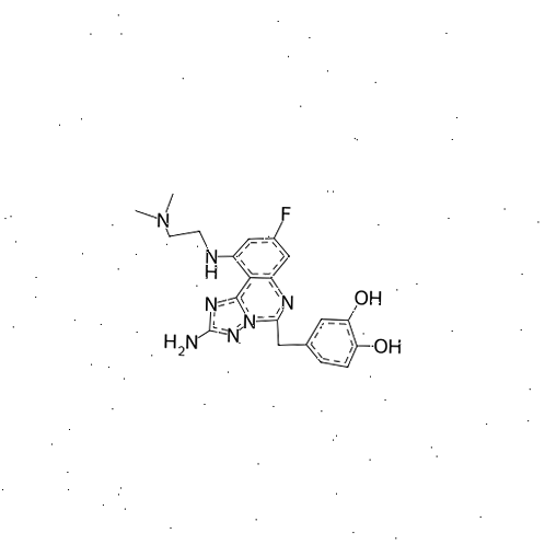 CN(C)CCNc1cc(F)cc2nc(Cc3ccc(O)c(O)c3)n3nc(N)nc3c12